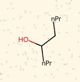 [CH2]CCCC(O)CCC